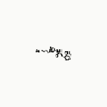 CC(=O)CCCCn1cc(NC(=O)C=Cc2ccccc2C)cn1